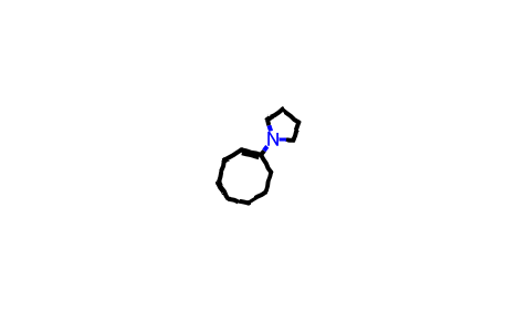 C1=C(N2CCCC2)CCCCCC1